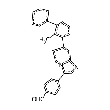 Cc1c(-c2ccccc2)cccc1-c1ccn2c(-c3ccc(C=O)cc3)cnc2c1